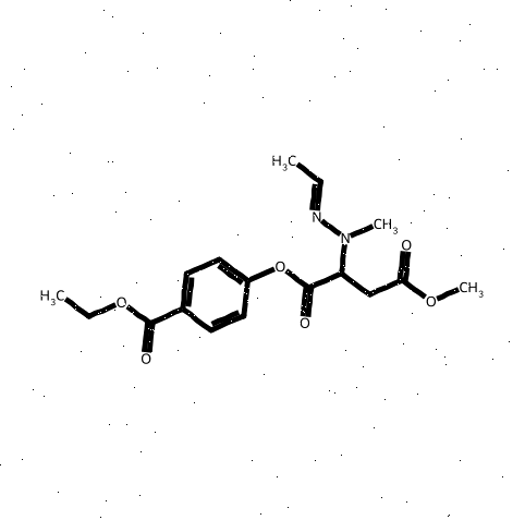 CC=NN(C)C(CC(=O)OC)C(=O)Oc1ccc(C(=O)OCC)cc1